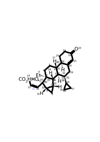 CC[C@]12CC[C@H]3[C@H]([C@@H]1[C@@H]1C[C@@H]1[C@@]2(O)/C=C\C(=O)O)[C@H](C1CC1)CC1=CC(=O)CC[C@@H]13